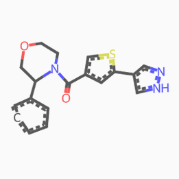 O=C(c1csc(-c2cn[nH]c2)c1)N1CCOCC1c1ccccc1